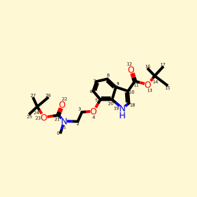 CN(CCOc1cccc2c(C(=O)OC(C)(C)C)c[nH]c12)C(=O)OC(C)(C)C